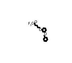 O=C(CCCCOc1cccc(OCc2ccccc2)c1)C(F)(F)F